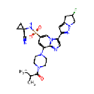 CC(C)C(=O)N1CCN(c2cc(S(=O)(=O)NC3(C#N)CC3)cn3c(-c4cc5n(n4)CC(F)C5)cnc23)CC1